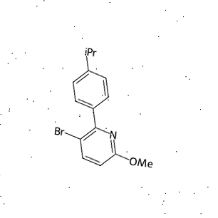 COc1ccc(Br)c(-c2ccc(C(C)C)cc2)n1